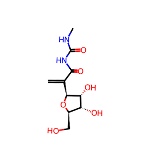 C=C(C(=O)NC(=O)NC)[C@@H]1O[C@H](CO)[C@@H](O)[C@H]1O